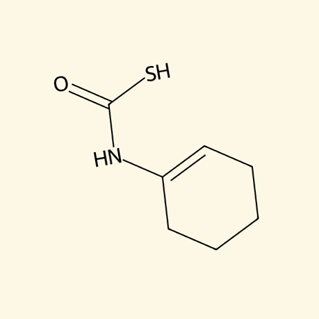 O=C(S)NC1=CCCCC1